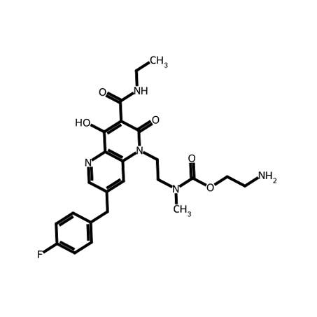 CCNC(=O)c1c(O)c2ncc(Cc3ccc(F)cc3)cc2n(CCN(C)C(=O)OCCN)c1=O